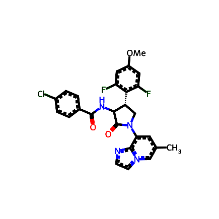 COc1cc(F)c([C@@H]2CN(c3cc(C)cn4ccnc34)C(=O)C2NC(=O)c2ccc(Cl)cc2)c(F)c1